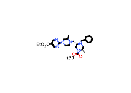 CCOC(=O)c1cnc(N2CCN(C[C@H]3CN(C(=O)OC(C)(C)C)[C@H](C)CN3Cc3ccccc3)C(C)C2)nc1